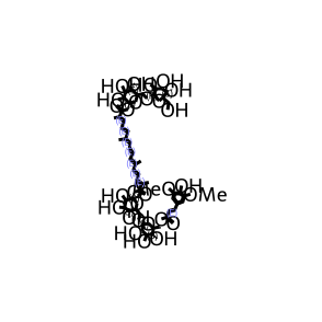 COc1cc(/C=C/C(=O)OCC2O[C@@H](OCC3O[C@@H](OC(=O)/C(C)=C/C=C/C(C)=C/C=C/C=C(C)/C=C/C=C(\C)C(=O)O[C@@H]4OC(CO[C@@H]5OC(CO)[C@@H](O)C(O)C5O)[C@@H](O)C(O)C4O)C(O)C(O)[C@@H]3O)C(O)C(O)[C@@H]2O)cc(OC)c1O